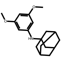 COc1cc(NC23CC4CC(CC(C4)C2)C3)cc(OC)c1